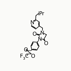 CC(C)Cc1cc(CN2CC(=O)N(c3ccc(S(=O)(=O)C(F)(F)F)cc3)C2=O)ccn1